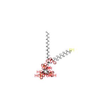 CCCCCCCCCCCCCCCC(=O)O[C@H](COC(=O)CCCCCCCCCCS)COP(=O)(O)OC1C(O)[C@@H](OP(=O)(O)O)C(O)[C@@H](OP(=O)(O)O)[C@H]1O